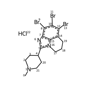 CN1CCC(c2nc3c(Br)c(Br)c(Br)c4c3n2CCC4)CC1.Cl